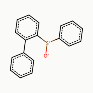 [O-][S+](c1ccccc1)c1ccccc1-c1ccccc1